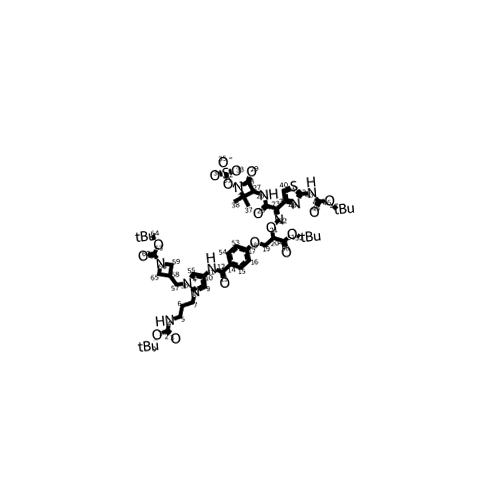 CC(C)(C)OC(=O)NCCCn1cc(NC(=O)c2ccc(OCC(O/N=C(\C(=O)NC3C(=O)N(OS(=O)(=O)[O-])C3(C)C)c3csc(NC(=O)OC(C)(C)C)n3)C(=O)OC(C)(C)C)cc2)c[n+]1CC1CN(C(=O)OC(C)(C)C)C1